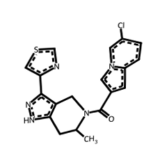 CC1Cc2[nH]nc(-c3cscn3)c2CN1C(=O)c1cc2ccc(Cl)cn2c1